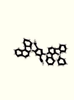 N#Cc1cc(-n2c3ccccc3c3c2ccc2c4ccccc4n(-c4ccccc4)c23)c(C#N)cc1-n1c2ccccc2c2c3ccccc3ccc21